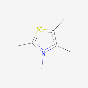 Cc1[s+]c(C)n(C)c1C